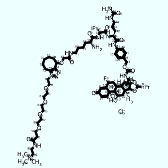 CCCC1O[C@@H]2C[C@H]3[C@@H]4C[C@H](F)C5=CC(=O)C=C[C@]5(C)[C@@]4(F)[C@@H](O)C[C@]3(C)[C@]2(C(=O)CNC(=O)OCc2ccc(NC(=O)[C@H](CCCNC(N)=O)NC(=O)[C@@H](NC(=O)[C@H](N)CCCCNC(=O)COC3CCCCCc4c3nnn4CCOCCOCCOCCOCCC(=O)NCC[N+](C)(C)C)C(C)C)cc2)O1.[Cl-]